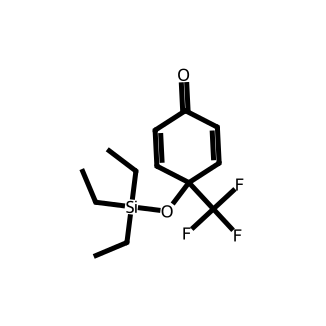 CC[Si](CC)(CC)OC1(C(F)(F)F)C=CC(=O)C=C1